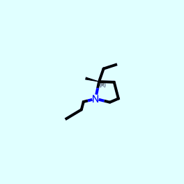 CCCN1CCC[C@@]1(C)CC